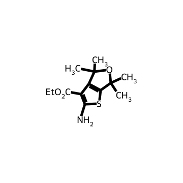 CCOC(=O)c1c(N)sc2c1C(C)(C)OC2(C)C